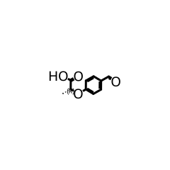 C[C@@H](Oc1ccc(C=O)cc1)C(=O)O